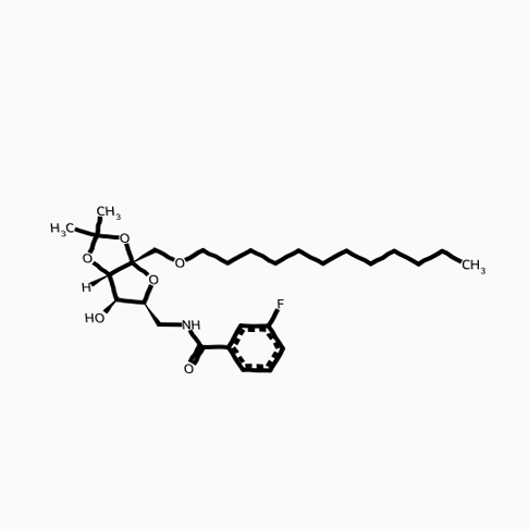 CCCCCCCCCCCCOC[C@@]12O[C@@H](CNC(=O)c3cccc(F)c3)[C@@H](O)[C@@H]1OC(C)(C)O2